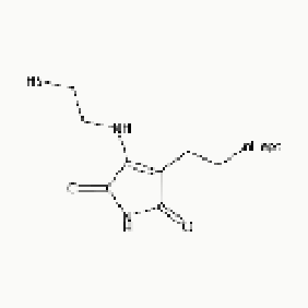 CCCCCCCCCC1=C(NCCS)C(=O)NC1=O